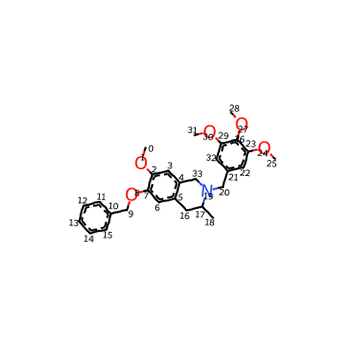 COc1cc2c(cc1OCc1ccccc1)CC(C)N(Cc1cc(OC)c(OC)c(OC)c1)C2